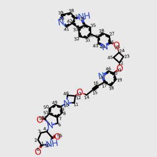 O=C1CCC(N2Cc3cc(N4CC(OCC#Cc5ccc(O[C@H]6C[C@H](Oc7ccc(-c8ccc9c(c8)[nH]c8ccncc89)cn7)C6)cn5)C4)ccc3C2=O)C(=O)N1